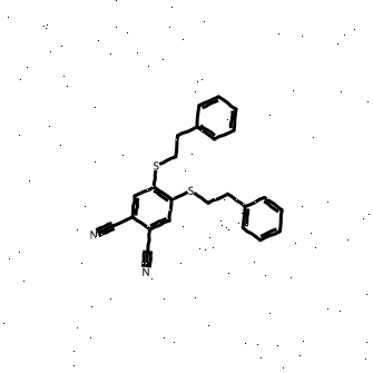 N#Cc1cc(SCCc2ccccc2)c(SCCc2ccccc2)cc1C#N